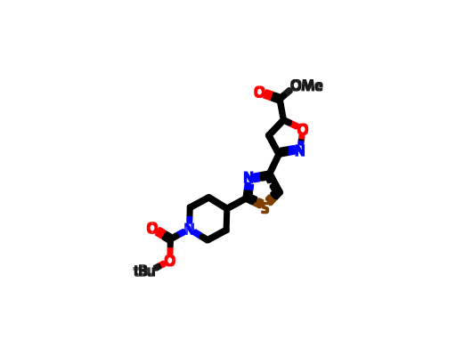 COC(=O)C1CC(c2csc(C3CCN(C(=O)OC(C)(C)C)CC3)n2)=NO1